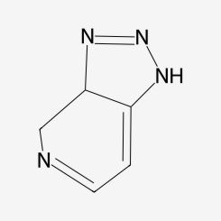 C1=NCC2N=NNC2=C1